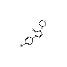 O=c1n(-c2ccc(Br)cc2)cnn1[C@@H]1CCOC1